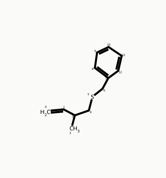 C=CC(C)CSCc1ccccc1